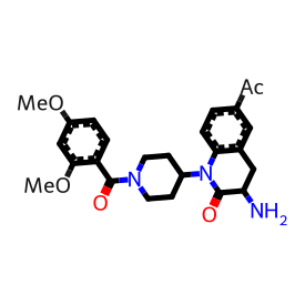 COc1ccc(C(=O)N2CCC(N3C(=O)C(N)Cc4cc(C(C)=O)ccc43)CC2)c(OC)c1